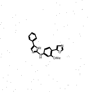 COc1cc(Nc2ncc(-c3ccccc3)[nH]2)ccc1-c1cnco1